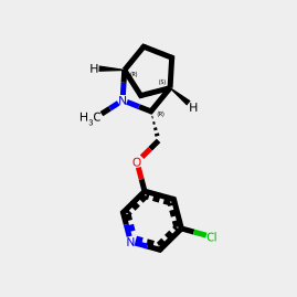 CN1[C@@H]2CC[C@@H](C2)[C@@H]1COc1cncc(Cl)c1